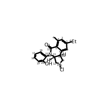 CCc1cc(C)c2c(c1)[C@H]1CN(Cl)C[C@@H]1N(c1ccccc1O)C2=O